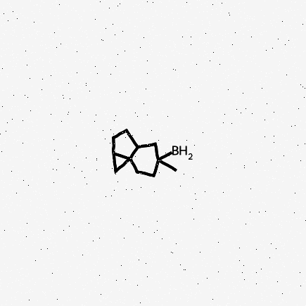 BC1(C)CCC23CC2CCC3C1